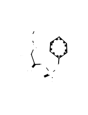 CON[C@@H](C)C(=O)OP(=O)(Cl)Oc1ccccc1